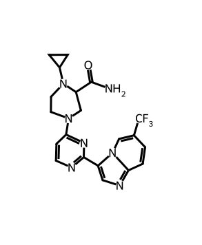 NC(=O)C1CN(c2ccnc(-c3cnc4ccc(C(F)(F)F)cn34)n2)CCN1C1CC1